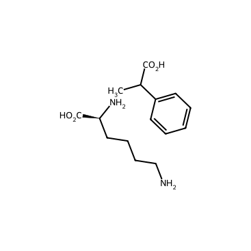 CC(C(=O)O)c1ccccc1.NCCCC[C@H](N)C(=O)O